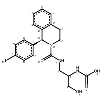 O=C(O)NC(CO)CNC(=O)N1CCc2ccccc2[C@@H]1c1ccc(F)cc1